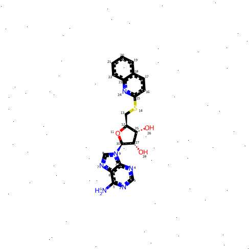 Nc1ncnc2c1ncn2[C@H]1O[C@@H](CSc2ccc3ccccc3n2)[C@H](O)[C@@H]1O